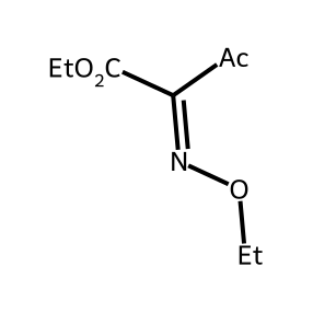 CCO/N=C(\C(C)=O)C(=O)OCC